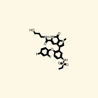 CCS(=O)(=O)Nc1ccc(Oc2ccc(F)cc2F)c(-c2cn(C)c3c(=O)[nH]c(C(=O)NCCCO)cc23)c1